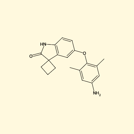 Cc1cc(N)cc(C)c1Oc1ccc2c(c1)C1(CCC1)C(=O)N2